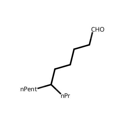 CCCCCC(CCC)CCCCC=O